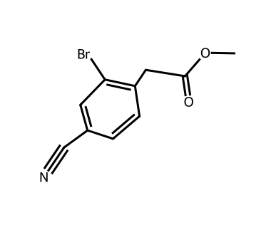 COC(=O)Cc1ccc(C#N)cc1Br